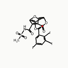 CS(=O)(=O)NC(=O)c1c2c3oc1c(OC(=O)c1cc(I)cc(I)c1I)c3OC2=O